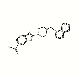 NC(=O)c1ccc2[nH]c(N3CCN(Cc4ccnc5ccccc45)CC3)nc2c1